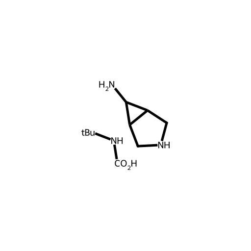 CC(C)(C)NC(=O)O.NC1C2CNCC12